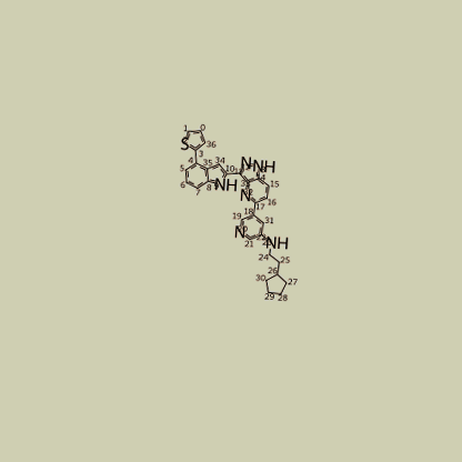 c1csc(-c2cccc3[nH]c(-c4n[nH]c5ccc(-c6cncc(NCCC7CCCC7)c6)nc45)cc23)c1